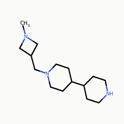 CN1CC(CN2CCC(C3CCNCC3)CC2)C1